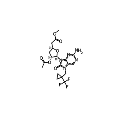 COC(=O)C[C@@H]1C[C@@H](OC(C)=O)[C@H](n2c(=O)n(CC3(C(F)(F)F)CC3)c3cnc(N)nc32)O1